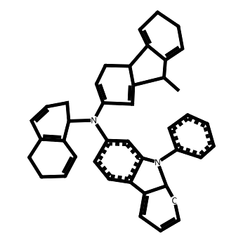 CC1C2=CCCC=C2C2CC=C(N(c3ccc4c(c3)N(c3ccccc3)C3CC=CC=C43)C3CC=CC4=C3C=CCC4)C=C12